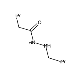 CC(C)CNNC(=O)CC(C)C